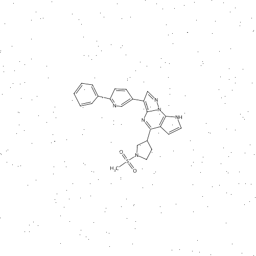 CS(=O)(=O)N1CCC(c2nc3c(-c4ccc(-c5ccccc5)nc4)cnn3c3[nH]ccc23)C1